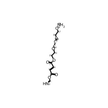 N=COC(=O)/C=C/C(=O)OCCOCCOCCON